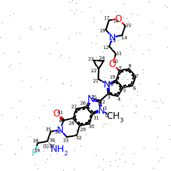 Cn1c(-c2cc3cccc(OCCN4CCOCC4)c3n2CC2CC2)nc2cc3c(cc21)CCN(C[C@H](N)CF)C3=O